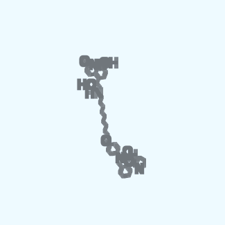 O=C(O[C@H]1CN2CCC1CC2)N(Cc1ccccc1)c1ccc(OCCCCCCCCCNC[C@H](O)c2ccc(O)c3[nH]c(=O)ccc23)cc1